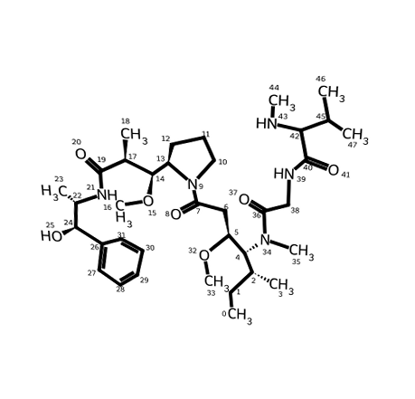 CC[C@@H](C)[C@H]([C@H](CC(=O)N1CCC[C@@H]1[C@@H](OC)[C@H](C)C(=O)N[C@@H](C)[C@H](O)c1ccccc1)OC)N(C)C(=O)CNC(=O)C(NC)C(C)C